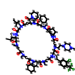 CC[C@H](C)[C@@H]1NC(=O)[C@H](CC(C)C)N(C)C(=O)C[C@@H](C(=O)N2CCCCC2)N(C)C(=O)[C@H](C2CCCCC2)N(C)C(=O)C2(CCCC2)NC(=O)CN(CCN2CCN(C)CC2)C(=O)[C@H](CCc2ccc(C(F)(F)F)c(Cl)c2)NC(=O)CN(C)C(=O)[C@H](CC2CCCCC2)N(C)C(=O)CN(C)C(=O)CN(C)C1=O